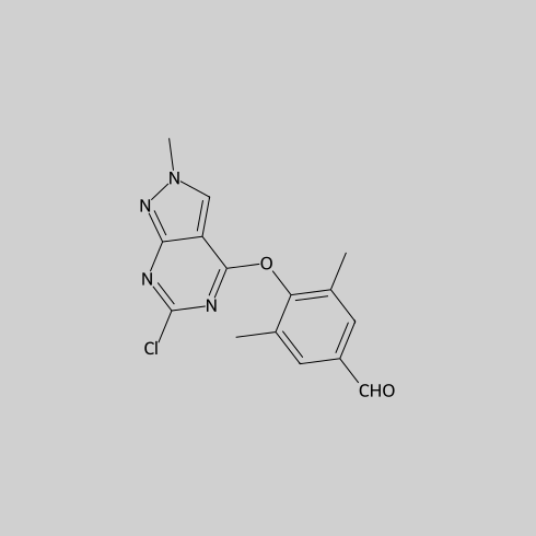 Cc1cc(C=O)cc(C)c1Oc1nc(Cl)nc2nn(C)cc12